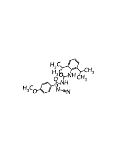 COc1ccc(S(=O)(=NC#N)NC(=O)Nc2c(C(C)C)cccc2C(C)C)cc1